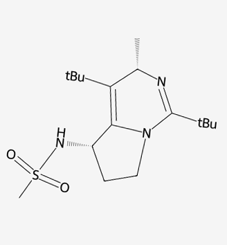 C[C@@H]1N=C(C(C)(C)C)N2CC[C@H](NS(C)(=O)=O)C2=C1C(C)(C)C